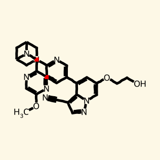 COc1cnc(CN2C3CC2CN(c2ccc(-c4cc(OCCO)cn5ncc(C#N)c45)cn2)C3)cn1